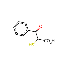 O=C(O)C(S)C(=O)c1ccccc1